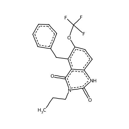 CCCn1c(=O)[nH]c2ccc(OC(F)(F)F)c(Cc3ccccc3)c2c1=O